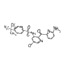 CC(C)(C)c1ccc(S(=O)(=O)Nc2cc(Cl)cnc2C(=O)c2cccc(N)n2)cc1